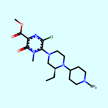 BN1CCC(N2CCN(c3c(Cl)nc(C(=O)OC)c(=O)n3C)C[C@@H]2CC)CC1